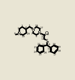 CN1CCC(CN2CCN(C(=O)CSC(c3ccccc3)c3ccccc3)CC2)CC1